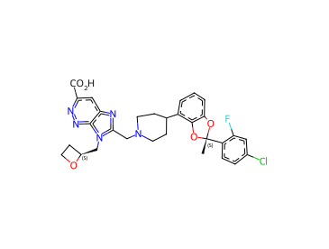 C[C@]1(c2ccc(Cl)cc2F)Oc2cccc(C3CCN(Cc4nc5cc(C(=O)O)nnc5n4C[C@@H]4CCO4)CC3)c2O1